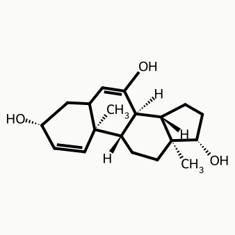 C[C@]12CC[C@H]3[C@@H](C(O)=CC4C[C@@H](O)C=C[C@@]43C)[C@@H]1CC[C@@H]2O